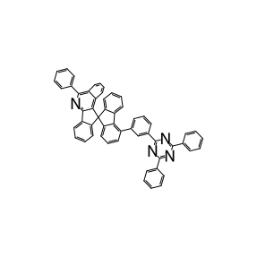 c1ccc(-c2nc(-c3ccccc3)nc(-c3cccc(-c4cccc5c4-c4ccccc4C54c5ccccc5-c5nc(-c6ccccc6)c6ccccc6c54)c3)n2)cc1